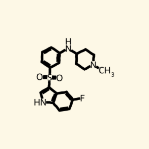 CN1CCC(Nc2cccc(S(=O)(=O)c3c[nH]c4ccc(F)cc34)c2)CC1